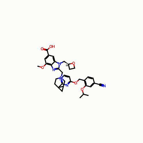 COc1cc(C(=O)O)cc2c1nc(CN1CCC3(c4nccc(OCc5ccc(C#N)cc5OC(C)C)n4)CC3C1)n2C[C@@H]1CCO1